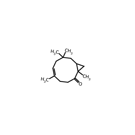 CC1=CCC(C)(C)CC2CC2(C)C(=O)CC1